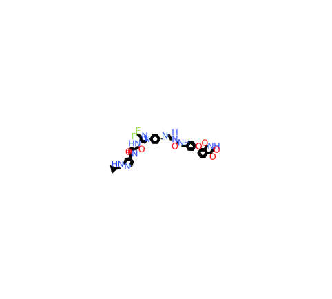 CN(CCNC(=O)NCc1ccc(Oc2cccc3c2C(=O)NC(=O)C3=O)cc1)C[C@H]1CC[C@H](n2cc(NC(=O)c3coc(-c4ccnc(NCC5CC5)c4)n3)c(C(F)F)n2)CC1